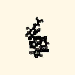 C=N/C(=N\C=C(C)C)[C@@H](C)[C@H](C)S(=O)(=O)Nc1nnc([C@@H]2CCO[C@@H]2C)n1-c1c(OC)cccc1OC